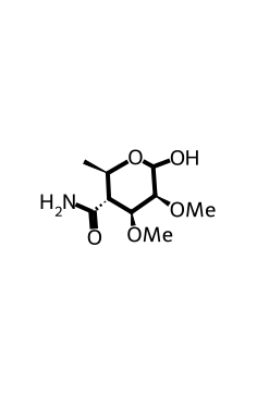 CO[C@H]1[C@H](C(N)=O)[C@@H](C)OC(O)[C@H]1OC